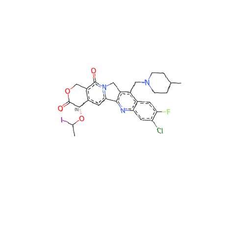 CC1CCN(Cc2c3c(nc4cc(Cl)c(F)cc24)-c2cc4c(c(=O)n2C3)COC(=O)[C@H]4OC(C)I)CC1